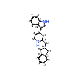 C1=C(c2c[nH]c3ccccc23)CC(CC2Cc3ccccc3C2)NC1